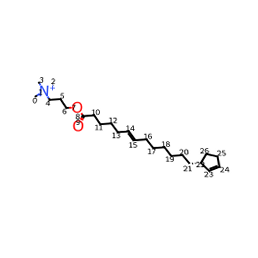 C[N+](C)(C)CCCOC(=O)CCCCC=CCCCCCC[C@H]1C=CCC1